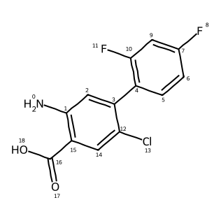 Nc1cc(-c2ccc(F)cc2F)c(Cl)cc1C(=O)O